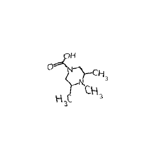 CC1CN(C(=O)O)CC(C)N1C